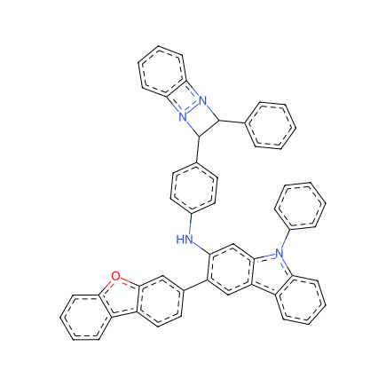 c1ccc(C2C(c3ccc(Nc4cc5c(cc4-c4ccc6c(c4)oc4ccccc46)c4ccccc4n5-c4ccccc4)cc3)n3c4ccccc4n32)cc1